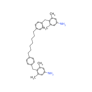 Cc1cc(N)cc(C)c1Cc1ccc(CCCCCCCc2ccc(Cc3c(C)cc(N)cc3C)cc2)cc1